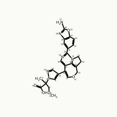 COCC(C)(C(=O)O)n1cc(C2=COCC3=C4C2=CN=C(c2ccc5oc(N)nc5c2)N4CC3)cn1